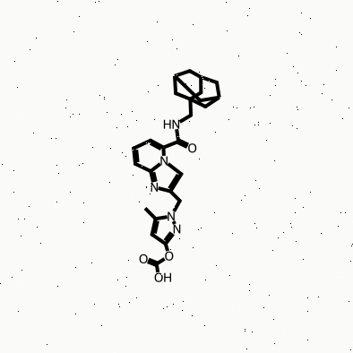 Cc1cc(OC(=O)O)nn1Cc1cn2c(C(=O)NCC34CC5CC(CC(C5)C3)C4)cccc2n1